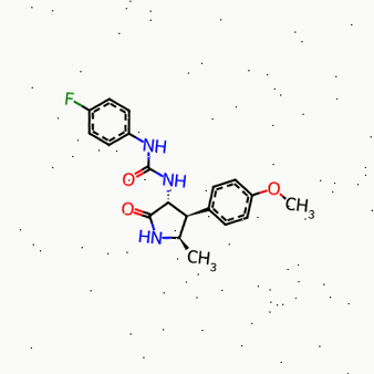 COc1ccc([C@H]2[C@@H](C)NC(=O)[C@@H]2NC(=O)Nc2ccc(F)cc2)cc1